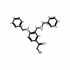 O=C(CBr)c1ccc(OCc2ccccc2)c(COCc2ccccc2)c1